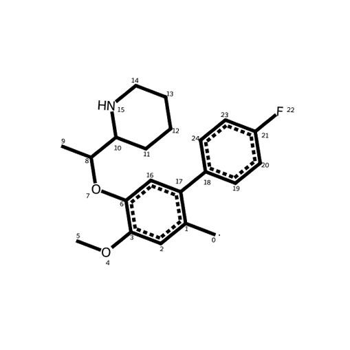 [CH2]c1cc(OC)c(OC(C)C2CCCCN2)cc1-c1ccc(F)cc1